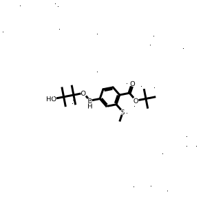 CSc1cc(BOC(C)(C)C(C)(C)O)ccc1C(=O)OC(C)(C)C